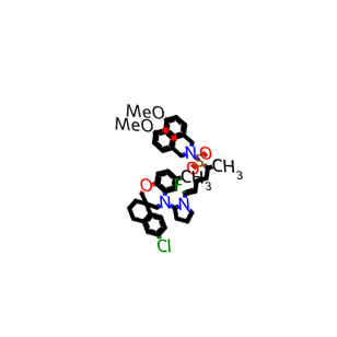 COc1ccc(CN(Cc2ccc(OC)cc2)S(=O)(=O)C(C)CC/C=C(\F)N2CCCC2N2CC3(CCCc4cc(Cl)ccc43)COc3ccc(C)cc32)cc1